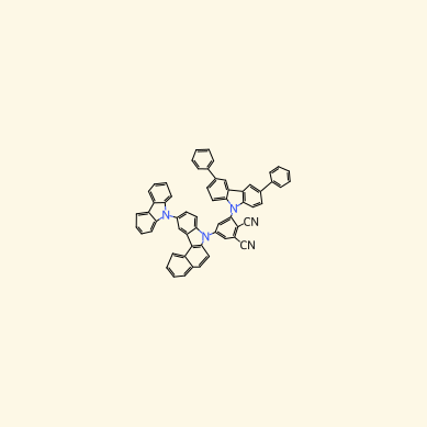 N#Cc1cc(-n2c3ccc(-n4c5ccccc5c5ccccc54)cc3c3c4ccccc4ccc32)cc(-n2c3ccc(-c4ccccc4)cc3c3cc(-c4ccccc4)ccc32)c1C#N